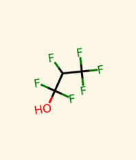 OC(F)(F)C(F)C(F)(F)F